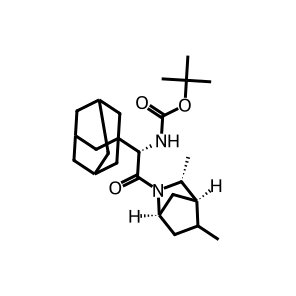 CC1C[C@@H]2C[C@H]1[C@@H](C)N2C(=O)[C@@H](NC(=O)OC(C)(C)C)C12CC3CC(CC(C3)C1)C2